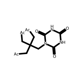 CC(=O)CC(CC(C)=O)(CC(C)=O)Cn1c(=O)[nH]c(=O)[nH]c1=O